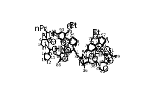 CCCC1=NC2(CCCN(C(=O)C3CCCC3)C2)C(=O)N1Cc1ccc(-c2cccc(C(C)CCc3nc(C)c(CC(=O)N4CCOCC4)c(=O)n3Cc3ccc(-c4ccccc4S(=O)(=O)Nc4noc(C)c4C)c(COCC)c3)c2S(=O)(=O)Nc2noc(C)c2C)c(COCC)c1